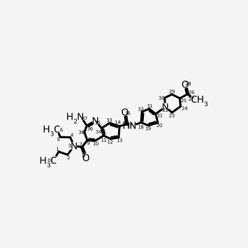 CCCN(CCC)C(=O)C1=Cc2ccc(C(=O)Nc3ccc(N4CCC(C(C)=O)CC4)cc3)cc2N=C(N)C1